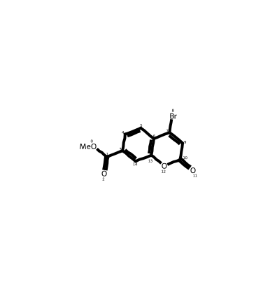 COC(=O)c1ccc2c(Br)cc(=O)oc2c1